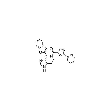 O=C(c1cnc(-c2ccccn2)s1)N1CCc2[nH]cnc2[C@H]1c1cc2ccccc2o1